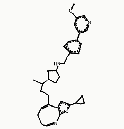 COc1cncc(-c2ccc(CN[C@H]3CC[C@@H](C(C)CC/C4=C/CC/C=N\c5sc(C6CC6)cc54)C3)cc2)c1